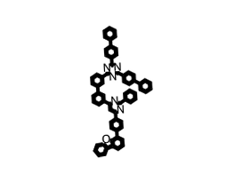 c1ccc(-c2ccc(-c3nc(-c4ccc(-c5ccccc5)cc4)nc(-c4cccc(-c5cccc(-c6cc(-c7ccc(-c8cccc9c8oc8ccccc89)cc7)nc(-c7ccccc7)n6)c5)c4)n3)cc2)cc1